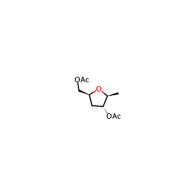 CC(=O)OC[C@@H]1C[C@@H](OC(C)=O)[C@H](C)O1